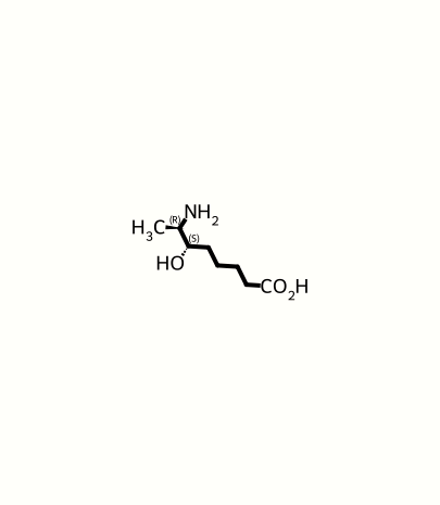 C[C@@H](N)[C@@H](O)CCCCC(=O)O